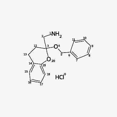 Cl.NCC1(OCc2ccccc2)CCc2ccccc2O1